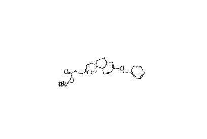 CC(C)(C)OC(=O)CCN1CCC2(CCc3cc(OCc4ccccc4)ccc32)CC1